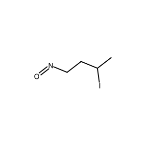 CC(I)CCN=O